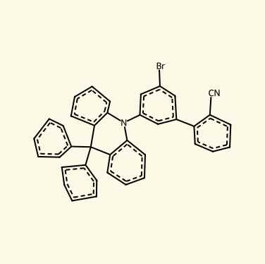 N#Cc1ccccc1-c1cc(Br)cc(N2c3ccccc3C(c3ccccc3)(c3ccccc3)c3ccccc32)c1